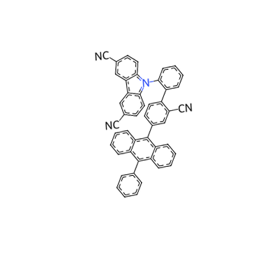 N#Cc1ccc2c(c1)c1cc(C#N)ccc1n2-c1ccccc1-c1ccc(-c2c3ccccc3c(-c3ccccc3)c3ccccc23)cc1C#N